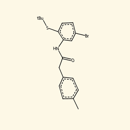 Cc1ccc(CC(=O)Nc2cc(Br)ccc2SC(C)(C)C)cc1